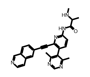 CNC(C)C(=O)Nc1ccc(-c2c(C)ncnc2C)c(C#Cc2ccc3cnccc3c2)n1